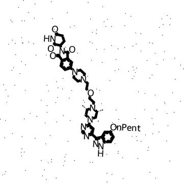 CCCCCOc1ccc2[nH]nc(-c3cc(N4C[C@@H](C)N(CCOCCN5CCN(c6ccc7c(c6)C(=O)N(C6CCC(=O)NC6=O)C7=O)CC5)[C@@H](C)C4)ncn3)c2c1